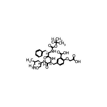 CC(C)C[C@H](CO)NC(=O)[C@H](Cc1ccc(OCC(=O)O)c(C(=O)O)c1)NC(=O)[C@H](Cc1ccccc1)NC(=O)OC(C)(C)C